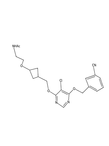 CC(=O)NCCOC1CC(COc2ncnc(OCc3cccc(C#N)c3)c2Cl)C1